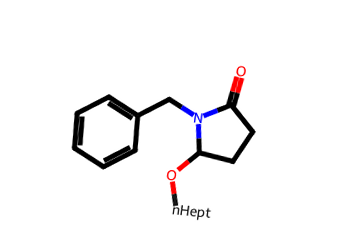 CCCCCCCOC1CCC(=O)N1Cc1ccccc1